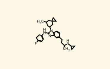 C=C(CCc1ccc2c(c1)nc(NC1=CC=C(F)CC1)n2C1CC(C)CC2(CC2)C1)NC1CC1